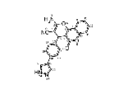 N#CC1=C(N)Oc2c(c(=O)oc3ccccc23)C1c1ccc(-c2cn[nH]c2)cc1